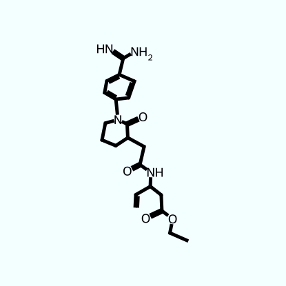 C=CC(CC(=O)OCC)NC(=O)CC1CCCN(c2ccc(C(=N)N)cc2)C1=O